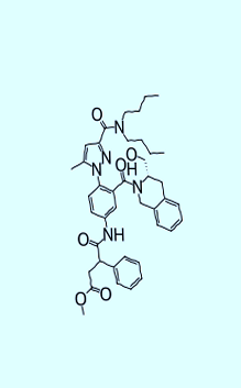 CCCCN(CCCC)C(=O)c1cc(C)n(-c2ccc(NC(=O)C(CC(=O)OC)c3ccccc3)cc2C(=O)N2Cc3ccccc3C[C@H]2CO)n1